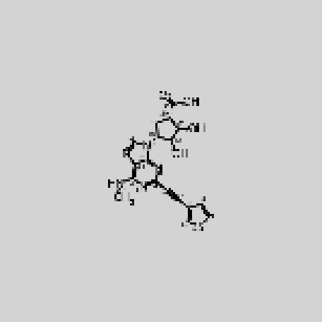 CNc1nc(C#Cc2ccsc2)nc2c1ncn2[C@@H]1C[C@H](C(=O)O)[C@@H](O)[C@H]1O